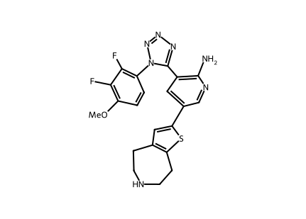 COc1ccc(-n2nnnc2-c2cc(-c3cc4c(s3)CCNCC4)cnc2N)c(F)c1F